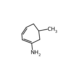 CC1CC=CC=C(N)C1